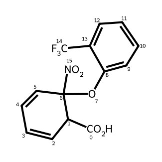 O=C(O)C1C=CC=CC1(Oc1ccccc1C(F)(F)F)[N+](=O)[O-]